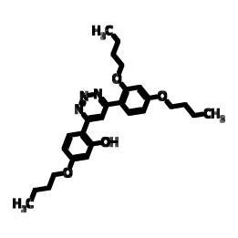 CCCCOc1ccc(-c2cc(-c3ccc(OCCCC)cc3OCCCC)nnn2)c(O)c1